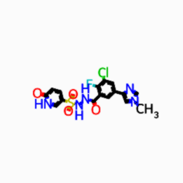 Cn1cnc(-c2cc(Cl)c(F)c(C(=O)NNS(=O)(=O)c3ccc(=O)[nH]c3)c2)c1